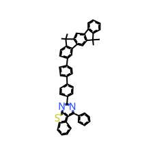 CC1(C)c2ccccc2-c2cc3c(cc21)-c1cc(-c2ccc(-c4ccc(-c5nc(-c6ccccc6)c6c(n5)sc5ccccc56)cc4)cc2)ccc1C3(C)C